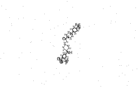 O=C(CCC1CCC(Nc2ccc([N+](=O)[O-])c(C(F)(F)F)c2)CC1)N1CCN(c2ccc(C(F)(F)F)cc2)CC1